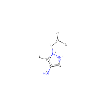 Cc1c(N)cnn1CC(C)C